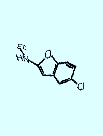 CCNc1cc2cc(Cl)ccc2o1